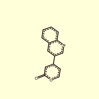 O=c1cc(-c2cnc3ccccc3c2)cco1